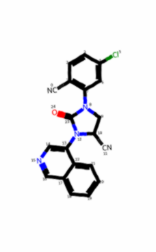 N#Cc1ccc(Cl)cc1N1CC(C#N)N(c2cncc3ccccc23)C1=O